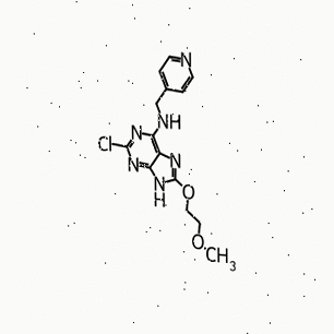 COCCOc1nc2c(NCc3ccncc3)nc(Cl)nc2[nH]1